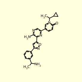 CC(N)c1cccc(-c2cc(-c3nc(-c4ccc(=O)n(C(C)C5CC5)c4)cnc3N)on2)c1